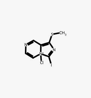 CSC1=C2C=NC=C[N+]2(Cl)C(I)=N1